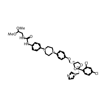 COC(CNC(=O)Nc1ccc(N2CCN(c3ccc(OC[C@@H]4CO[C@@](Cn5ccnc5)(c5ccc(Cl)cc5Cl)O4)cc3)CC2)cc1)OC